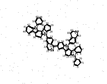 c1ccc(-n2c3ccccc3c3c2ccc2c4cc(-c5nccc6cc(-n7c8ccccc8c8c7ccc7c9ccccc9n(-c9ccccc9)c78)ccc56)ccc4n(-c4ccc5cnccc5c4)c23)cc1